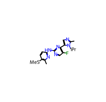 CSc1ccc(Nc2ncc(F)c(-c3cnc(C)n3C(C)C)n2)nc1C